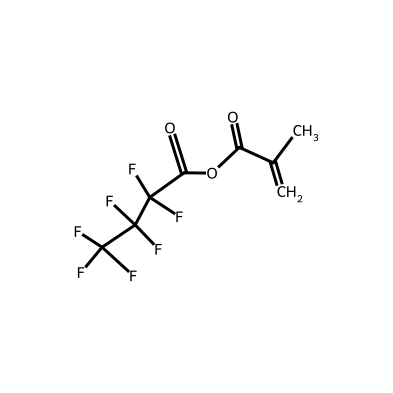 C=C(C)C(=O)OC(=O)C(F)(F)C(F)(F)C(F)(F)F